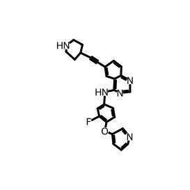 Fc1cc(Nc2ncnc3ccc(C#CC4CCNCC4)cc23)ccc1Oc1cccnc1